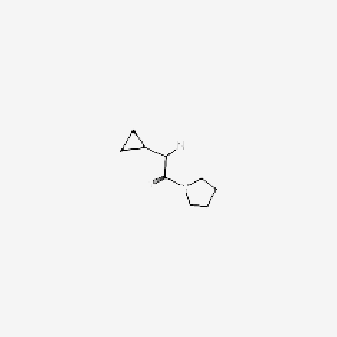 [NH]C(C(=O)N1CCCC1)C1CC1